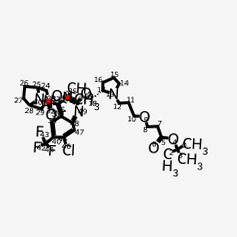 CC(C)(C)OC(=O)CCOCCCN1CCC[C@H]1COc1nc(N2CC3CCC(C2)N3C(=O)OC(C)(C)C)c2cc(C(F)(F)F)c(Cl)cc2n1